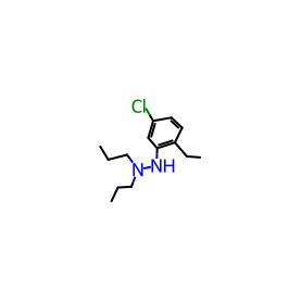 CCCN(CCC)Nc1cc(Cl)ccc1CC